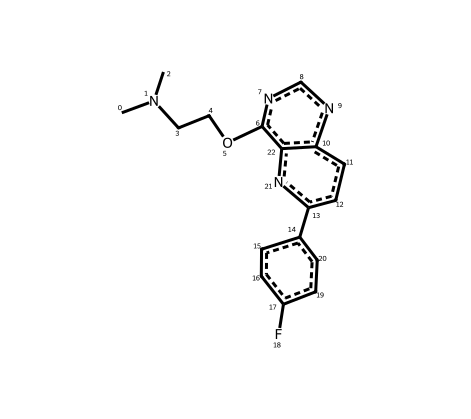 CN(C)CCOc1ncnc2ccc(-c3ccc(F)cc3)nc12